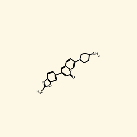 Cc1nc2ccc(-c3cc(=O)n4cc(N5CCC(N)CC5)ccc4c3)cc2o1